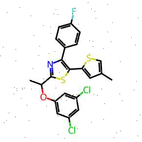 Cc1csc(-c2sc(C(C)Oc3cc(Cl)cc(Cl)c3)nc2-c2ccc(F)cc2)c1